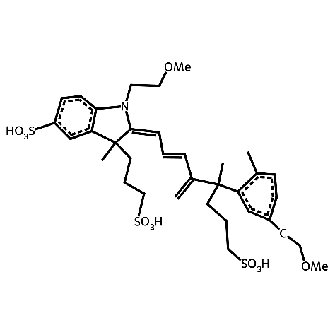 C=C(/C=C/C=C1/N(CCOC)c2ccc(S(=O)(=O)O)cc2C1(C)CCCS(=O)(=O)O)C(C)(CCCS(=O)(=O)O)c1cc(CCOC)ccc1C